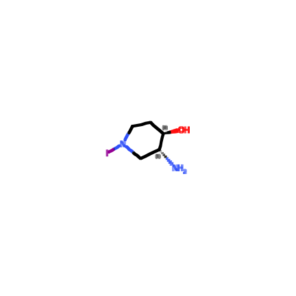 N[C@@H]1CN(I)CC[C@H]1O